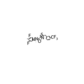 Cc1c(F)cc([C@@H](C)NC(=O)c2csc(Cc3cccc(C(F)(F)F)c3)n2)cc1F